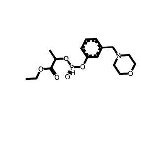 CCOC(=O)C(C)O[PH](=O)Oc1cccc(CN2CCOCC2)c1